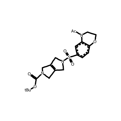 CC(=O)N1CCOc2ccc(S(=O)(=O)N3CC4=C(CN(C(=O)OC(C)(C)C)C4)C3)cc21